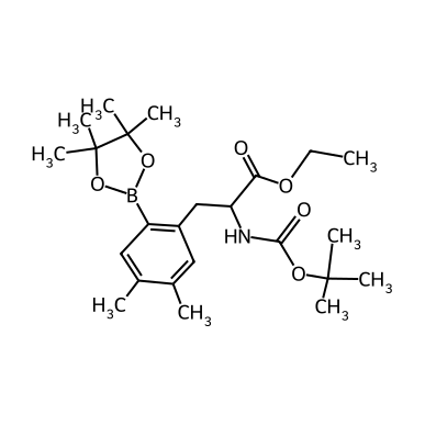 CCOC(=O)C(Cc1cc(C)c(C)cc1B1OC(C)(C)C(C)(C)O1)NC(=O)OC(C)(C)C